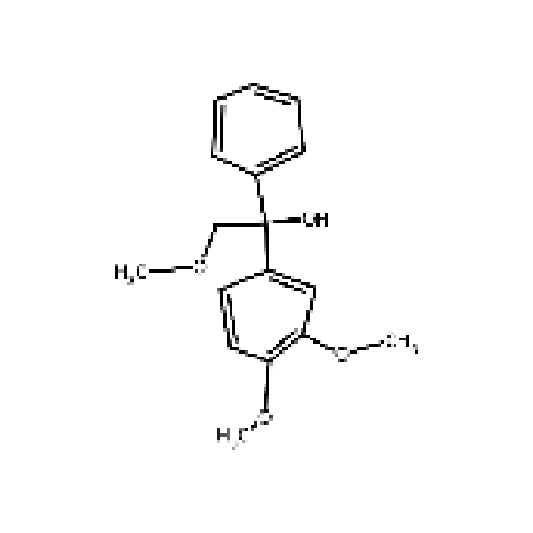 COC[C@](O)(c1ccccc1)c1ccc(OC)c(OC)c1